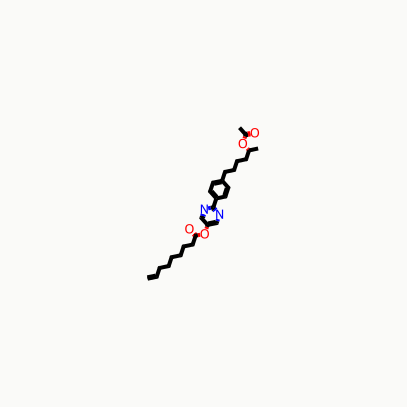 C=CCCCCCCC(=O)Oc1cnc(-c2ccc(CCCCC(C)OC(C)=O)cc2)nc1